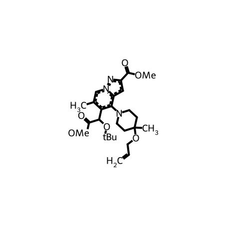 C=CCOC1(C)CCN(c2c(C(OC(C)(C)C)C(=O)OC)c(C)cn3nc(C(=O)OC)cc23)CC1